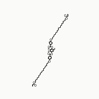 C=CC(=O)OCCCCCCCCCCCCCCCCCCOc1ccc(C(=O)Oc2cc(F)c(OC(=O)c3ccc(OCCCCCCCCCCCCCCCCCCOC(=O)C=C)cc3)c(F)c2F)cc1